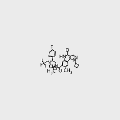 CCN(CC(c1ccc(F)cc1)N(C)CC(I)(I)I)C(=O)c1cc2[nH]c(=O)c3cnn(C4CCC4)c3c2cc1C